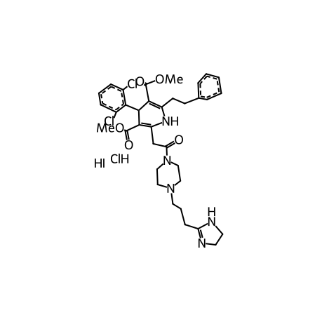 COC(=O)C1=C(CCc2ccccc2)NC(CC(=O)N2CCN(CCCC3=NCCN3)CC2)=C(C(=O)OC)C1c1c(Cl)cccc1Cl.Cl.I